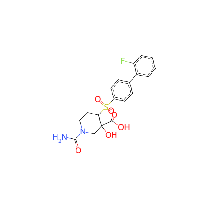 NC(=O)N1CCC(S(=O)(=O)c2ccc(-c3ccccc3F)cc2)C(O)(C(=O)O)C1